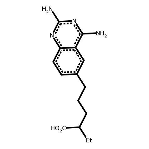 CCC(CCCc1ccc2nc(N)nc(N)c2c1)C(=O)O